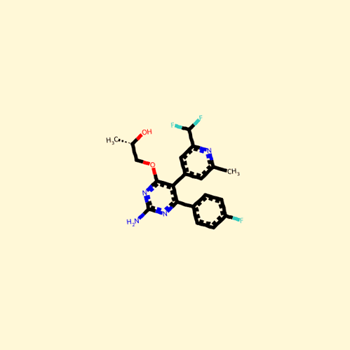 Cc1cc(-c2c(OC[C@H](C)O)nc(N)nc2-c2ccc(F)cc2)cc(C(F)F)n1